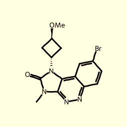 CO[C@H]1C[C@H](n2c(=O)n(C)c3nnc4ccc(Br)cc4c32)C1